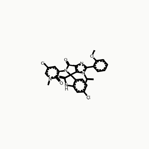 COc1ccccc1-c1nc2c(n1C(C)C)C1(C(=O)Nc3cc(Cl)ccc31)N(c1cc(Cl)cn(C)c1=O)C2=O